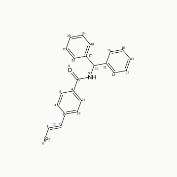 CC(C)/C=C/c1ccc(C(=O)NC(c2ccccc2)c2ccccc2)cc1